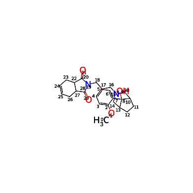 COc1ccccc1C1(O)C2CCC1CN(CCCN1C(=O)C3CC=CCC3C1=O)C2